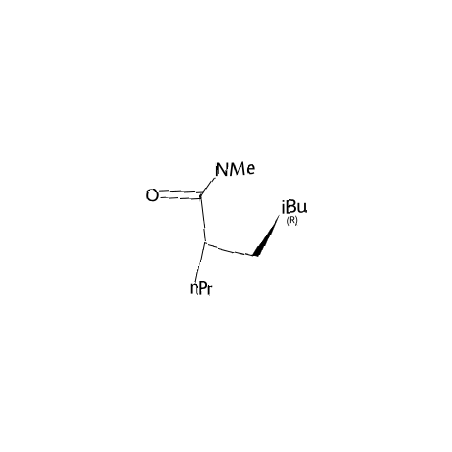 CCCC(C[C@H](C)CC)C(=O)NC